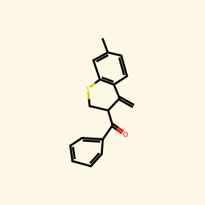 C=C1c2ccc(C)cc2SCC1C(=O)c1ccccc1